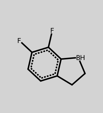 Fc1ccc2c(c1F)BCC2